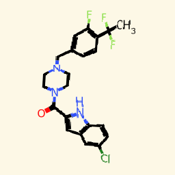 CC(F)(F)c1ccc(CN2CCN(C(=O)c3cc4cc(Cl)ccc4[nH]3)CC2)cc1F